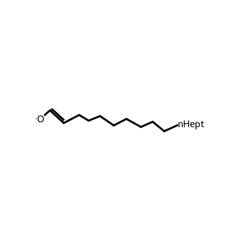 CCCCCCCCCCCCCCCC=C[O]